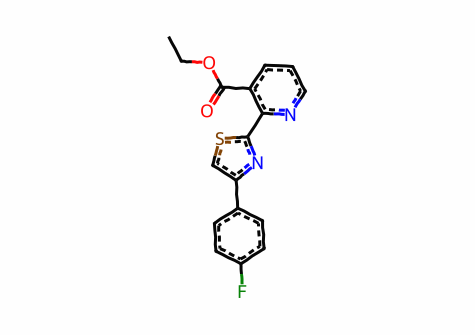 CCOC(=O)c1cccnc1-c1nc(-c2ccc(F)cc2)cs1